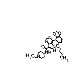 [CH2]CN1CCC(NC(=O)c2c[nH]c3c(-c4c(OCCCC)ccc5c4OCO5)ncnc23)CC1